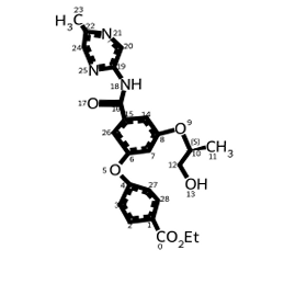 CCOC(=O)c1ccc(Oc2cc(O[C@@H](C)CO)cc(C(=O)Nc3cnc(C)cn3)c2)cc1